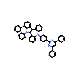 c1ccc(-c2cc(-c3ccccc3)nc(-c3ccc(N4c5ccccc5-c5c(n(-c6ccccc6)c6c(-c7ccccc7)cccc56)-c5ccccc54)cc3)n2)cc1